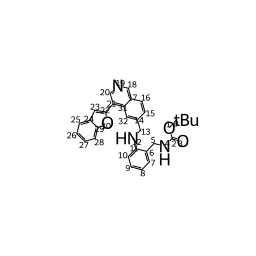 CC(C)(C)OC(=O)NCc1ccccc1NCc1ccc2cncc(-c3cc4ccccc4o3)c2c1